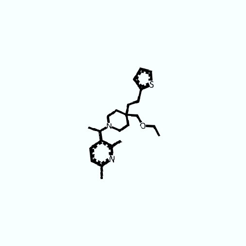 CCOCC1(CCc2cccs2)CCN(C(C)c2ccc(C)nc2C)CC1